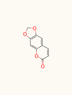 O=c1ccc2cc3c(cc2o1)OCO3